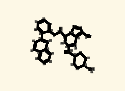 CC(C)c1cnn2c(NCc3ccccc3-c3ccc4ccccc4n3)nc(N[C@H]3CC[C@H](O)CC3)nc12